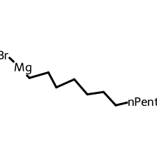 CCCCCCCCCCC[CH2][Mg][Br]